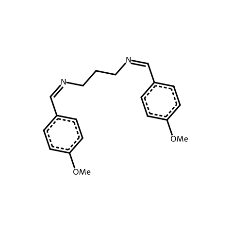 COc1ccc(/C=N\CCC/N=C\c2ccc(OC)cc2)cc1